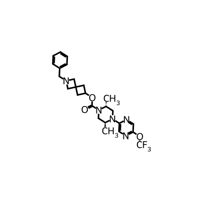 C[C@@H]1CN(c2cnc(OC(F)(F)F)cn2)[C@@H](C)CN1C(=O)OC1CC2(C1)CN(Cc1ccccc1)C2